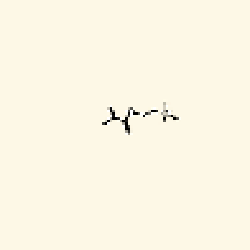 C=C(C)C(=C)OCC[N+](C)(C)C